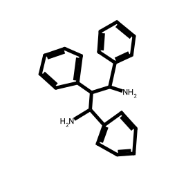 NC(c1ccccc1)C(c1ccccc1)C(N)c1ccccc1